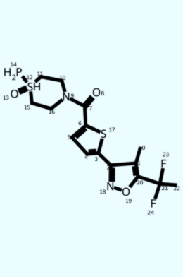 Cc1c(-c2ccc(C(=O)N3CC[SH](=O)(P)CC3)s2)noc1C(C)(F)F